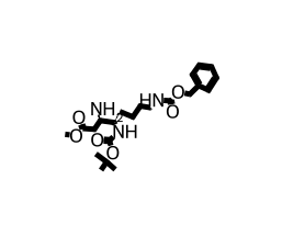 COC(=O)C[C@H](N)[C@H](CCCCNC(=O)OCc1ccccc1)NC(=O)OC(C)(C)C